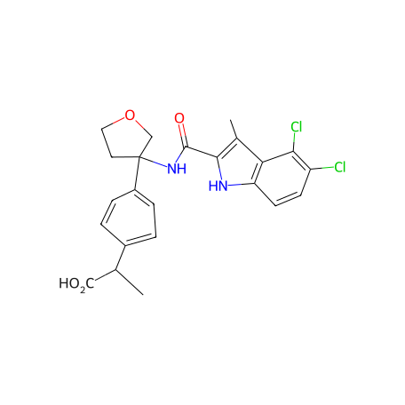 Cc1c(C(=O)NC2(c3ccc(C(C)C(=O)O)cc3)CCOC2)[nH]c2ccc(Cl)c(Cl)c12